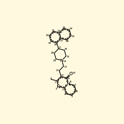 Cc1nc2ccccn2c(=O)c1CCN1CCC(c2cccc3ccccc23)CC1